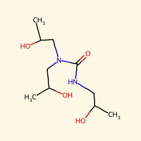 CC(O)CNC(=O)N(CC(C)O)CC(C)O